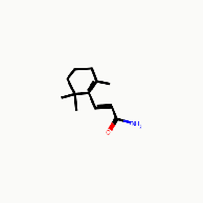 CC1=C(/C=C/C(N)=O)C(C)(C)CCC1